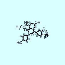 COC(=N)c1cc(O)cc2c(-c3ccc(C(F)(F)F)c(F)c3)cn(-c3ccc(O)cc3)c(=O)c12